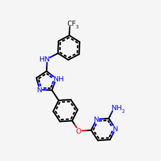 Nc1nccc(Oc2ccc(-c3ncc(Nc4cccc(C(F)(F)F)c4)[nH]3)cc2)n1